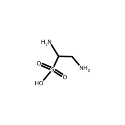 NCC(N)S(=O)(=O)O